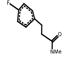 CNC(=O)CCc1ccc(F)cc1